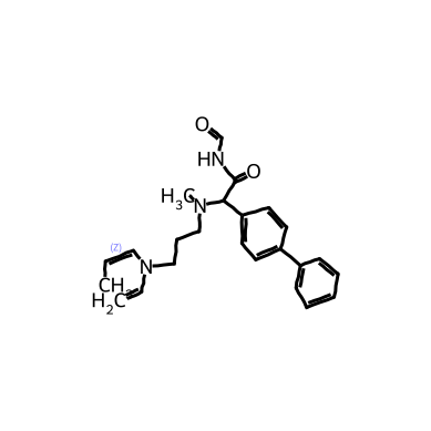 C=CN(/C=C\C)CCCN(C)C(C(=O)NC=O)c1ccc(-c2ccccc2)cc1